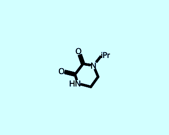 CC(C)N1CCNC(=O)C1=O